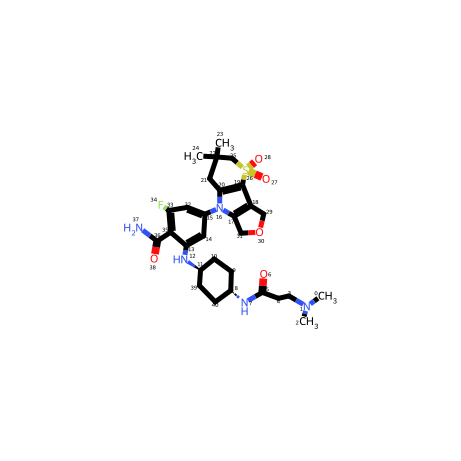 CN(C)CCC(=O)N[C@H]1CC[C@H](Nc2cc(-n3c4c(c5c3CC(C)(C)CS5(=O)=O)COC4)cc(F)c2C(N)=O)CC1